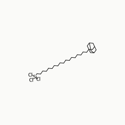 Cl[Si](Cl)(Cl)CCCCCCCCCCCCCCCCCCC12CC3CC(CC(C3)C1)C2